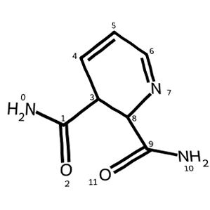 NC(=O)C1C=CC=NC1C(N)=O